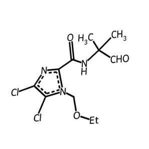 CCOCn1c(C(=O)NC(C)(C)C=O)nc(Cl)c1Cl